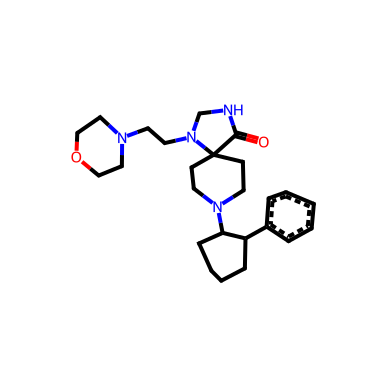 O=C1NCN(CCN2CCOCC2)C12CCN(C1CCCCC1c1ccccc1)CC2